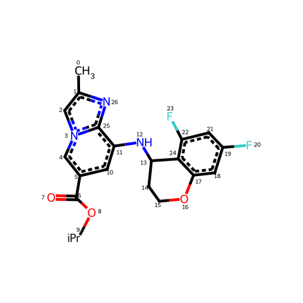 Cc1cn2cc(C(=O)OC(C)C)cc(NC3CCOc4cc(F)cc(F)c43)c2n1